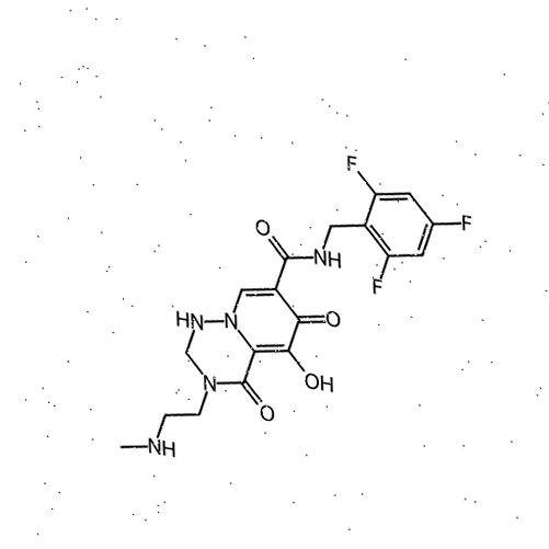 CNCCN1CNn2cc(C(=O)NCc3c(F)cc(F)cc3F)c(=O)c(O)c2C1=O